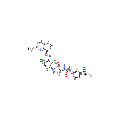 Cc1ccc2cccc(OCc3c(Cl)ccc(N(C)C(=O)CNC(=O)Nc4cccc(C(N)=O)c4)c3Cl)c2n1